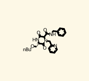 CCCCOC[C@@H]1NC(=O)C(C(=O)NCc2ccccc2)N(Cc2ccccn2)C1=O